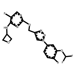 Fc1ccc(-n2cc(COc3ncc(F)c(NC4COC4)n3)nn2)cc1OC(F)F